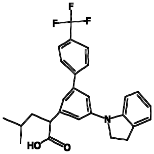 CC(C)CC(C(=O)O)c1cc(-c2ccc(C(F)(F)F)cc2)cc(N2CCc3ccccc32)c1